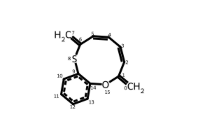 C=C1/C=C\C=C/C(=C)Sc2ccccc2O1